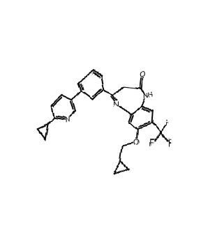 O=C1CC(c2cccc(-c3ccc(C4CC4)nc3)c2)=Nc2cc(OCC3CC3)c(C(F)(F)F)cc2N1